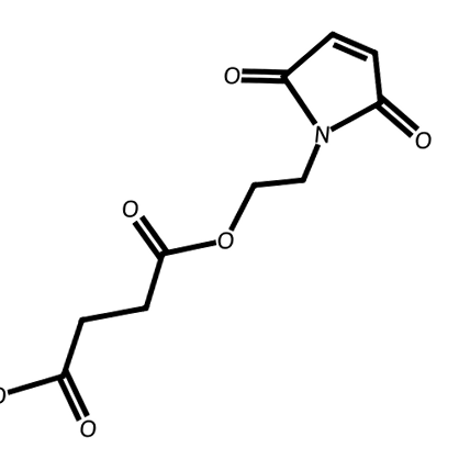 O=C(O)CCC(=O)OCCN1C(=O)C=CC1=O